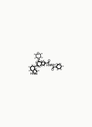 O=C(NNC(=O)c1cc2nc(-c3cccc4[nH]ncc34)nc(N3CCOCC3)c2s1)c1cccnc1